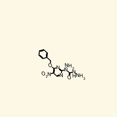 NNC(=O)N(N)c1ncc([N+](=O)[O-])c(OCc2ccccc2)n1